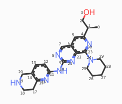 C[C@H](CO)c1cc2cnc(Nc3ccc4c(n3)CCNC4)nc2c(N2CCCCC2)n1